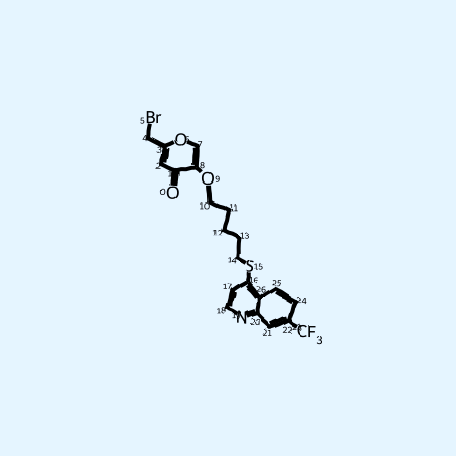 O=c1cc(CBr)occ1OCCCCCSc1ccnc2cc(C(F)(F)F)ccc12